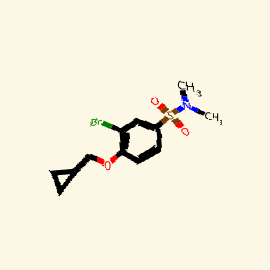 CN(C)S(=O)(=O)c1ccc(OCC2CC2)c(Br)c1